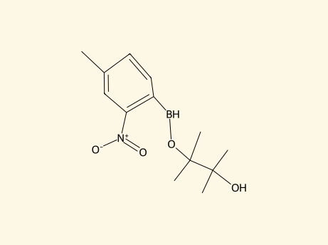 Cc1ccc(BOC(C)(C)C(C)(C)O)c([N+](=O)[O-])c1